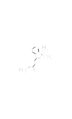 C=C/C(I)=C\C=C1/CC(C)(C)c2ccccc21